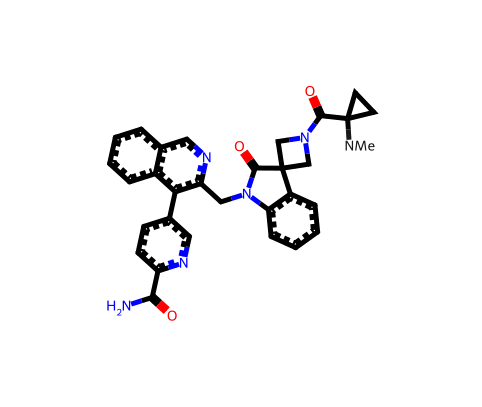 CNC1(C(=O)N2CC3(C2)C(=O)N(Cc2ncc4ccccc4c2-c2ccc(C(N)=O)nc2)c2ccccc23)CC1